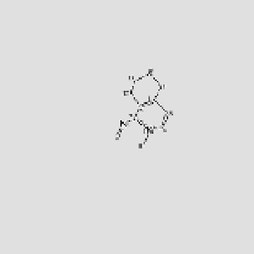 C=Nc1c2c(cc[n+]1C)CCCC2